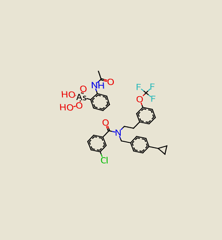 CC(=O)Nc1ccccc1[As](=O)(O)OO.O=C(c1cccc(Cl)c1)N(CCc1cccc(OC(F)(F)F)c1)Cc1ccc(C2CC2)cc1